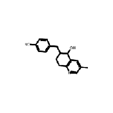 Cc1cnc2c(c1)C(O)C(Cc1ccc(C#N)cc1)CC2